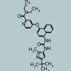 CCN(CC)C(=O)c1cc(Oc2ccc(NC(=O)Nc3cc(C(C)(C)C)nn3C)c3ccccc23)ccn1